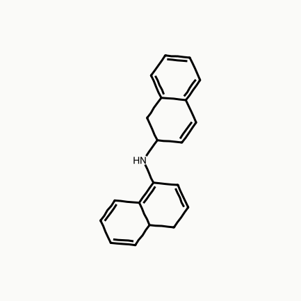 C1=CC2=C(NC3C=Cc4ccccc4C3)C=CCC2C=C1